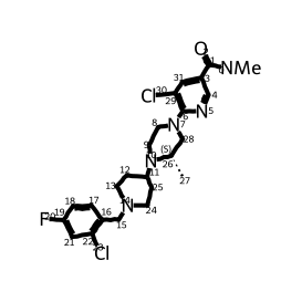 CNC(=O)c1cnc(N2CCN(C3CCN(Cc4ccc(F)cc4Cl)CC3)[C@@H](C)C2)c(Cl)c1